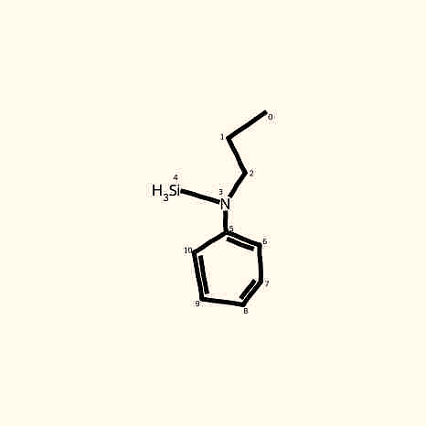 CCCN([SiH3])c1ccccc1